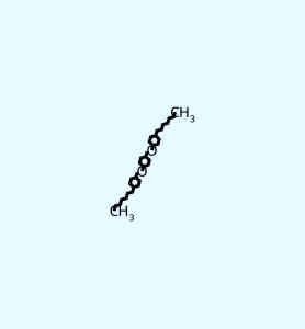 CCCCCCCC1CCC(COC2CCC(COC3CCC(CCCCCCC)CC3)CC2)CC1